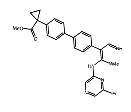 CN/C(Nc1cncc(C(C)C)n1)=C(\C=N)c1ccc(-c2ccc(C3(C(=O)OC)CC3)cc2)cc1